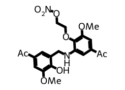 COc1cc(C(C)=O)cc(CNc2cc(C(C)=O)cc(OC)c2OCCO[N+](=O)[O-])c1O